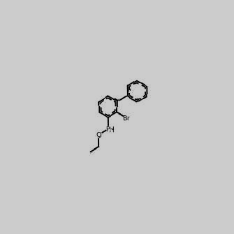 CCOPc1cccc(-c2ccccc2)c1Br